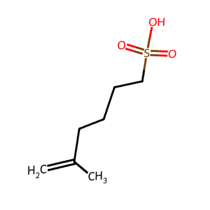 C=C(C)CCCCS(=O)(=O)O